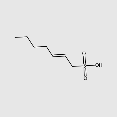 CCCCC=CCS(=O)(=O)O